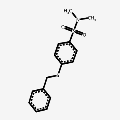 CN(C)S(=O)(=O)c1ccc(SCc2ccccc2)cc1